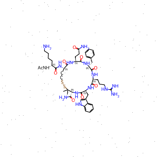 CC(=O)N[C@H](CCCCN)C(=O)N[C@H]1CCSSC(C)(C)[C@@H](C(N)=O)NC(=O)[C@H](Cc2c[nH]c3ccccc23)NC(=O)[C@H](CCCNC(=N)N)NC(=O)[C@@H](Cc2ccccc2)NC(=O)[C@H](CCC(N)=O)NC1=O